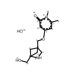 Cc1cc(OCC23CNC(CO)(C2)C3)cc(=O)n1C.Cl